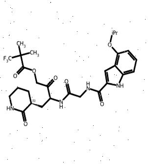 CC(C)Oc1cccc2[nH]c(C(=O)NCC(=O)NC(C[C@@H]3CCCNC3=O)C(=O)COC(=O)C(C)(C)C(F)(F)F)cc12